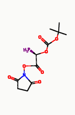 CC(C)(C)OC(=O)O[C@H](P)C(=O)ON1C(=O)CCC1=O